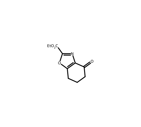 CCOC(=O)c1nc2c(o1)CCCC2=O